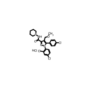 COCc1c(C(=O)NN2CCCCC2)nn(-c2ccc(Cl)cc2Cl)c1-c1ccc(Cl)cc1.Cl